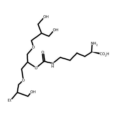 CCC(CO)COCC(COCC(CO)CO)OC(=O)NCCCC[C@@H](N)C(=O)O